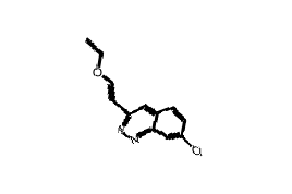 CCOC=Cc1cc2ccc(Cl)cc2nn1